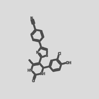 CC1=C(c2nc(-c3ccc(C#N)cc3)cs2)C(c2ccc(O)c(Cl)c2)NC(=O)N1